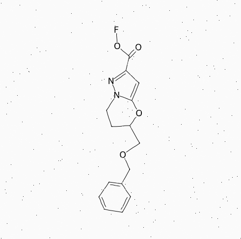 O=C(OF)c1cc2n(n1)CCC(COCc1ccccc1)O2